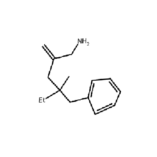 C=C(CN)CC(C)(CC)Cc1ccccc1